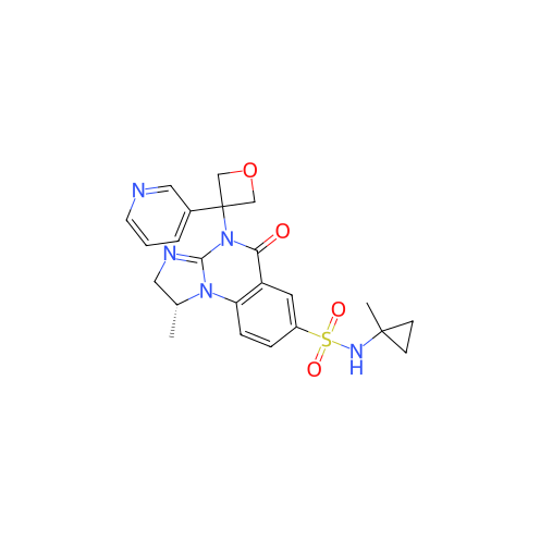 C[C@@H]1CN=C2N1c1ccc(S(=O)(=O)NC3(C)CC3)cc1C(=O)N2C1(c2cccnc2)COC1